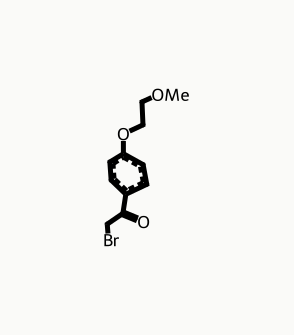 COCCOc1ccc(C(=O)CBr)cc1